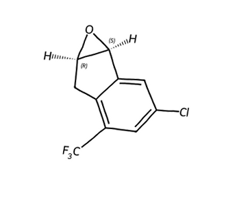 FC(F)(F)c1cc(Cl)cc2c1C[C@H]1O[C@@H]21